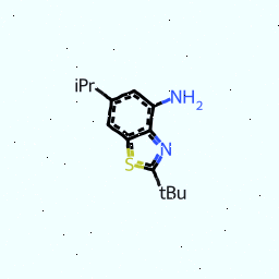 CC(C)c1cc(N)c2nc(C(C)(C)C)sc2c1